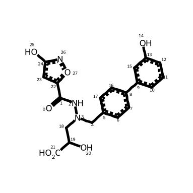 O=C(NN(Cc1ccc(-c2cccc(O)c2)cc1)CC(O)C(=O)O)c1cc(O)no1